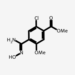 COC(=O)c1cc(OC)c(C(N)=NO)cc1Cl